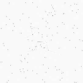 Cc1nc(C2(Cl)CC2)c(C)s1